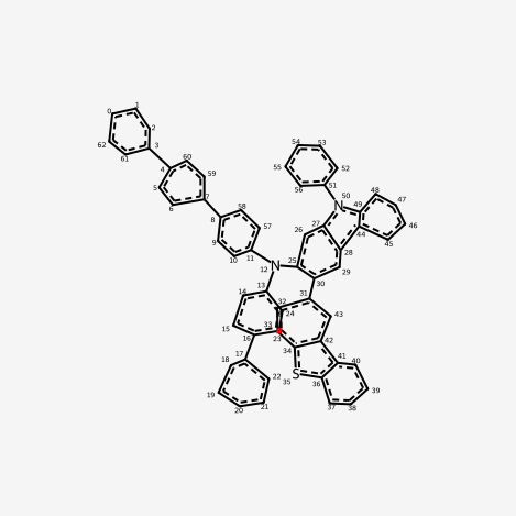 c1ccc(-c2ccc(-c3ccc(N(c4ccc(-c5ccccc5)cc4)c4cc5c(cc4-c4ccc6sc7ccccc7c6c4)c4ccccc4n5-c4ccccc4)cc3)cc2)cc1